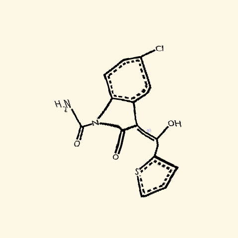 NC(=O)N1C(=O)/C(=C(/O)c2cccs2)c2cc(Cl)ccc21